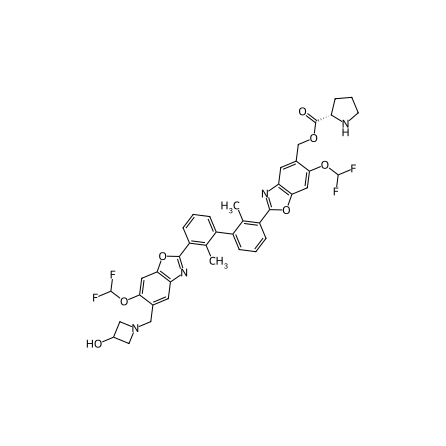 Cc1c(-c2nc3cc(COC(=O)[C@@H]4CCCN4)c(OC(F)F)cc3o2)cccc1-c1cccc(-c2nc3cc(CN4CC(O)C4)c(OC(F)F)cc3o2)c1C